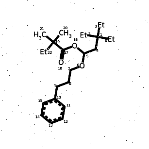 CCC(CC)(CC)CC(OCCCc1ccccc1)OC(=O)C(C)(C)CC